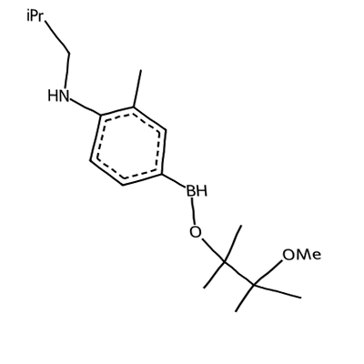 COC(C)(C)C(C)(C)OBc1ccc(NCC(C)C)c(C)c1